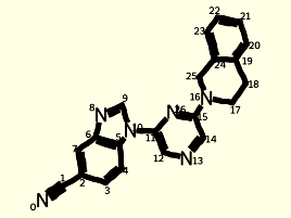 N#Cc1ccc2c(c1)ncn2-c1cncc(N2CCc3ccccc3C2)n1